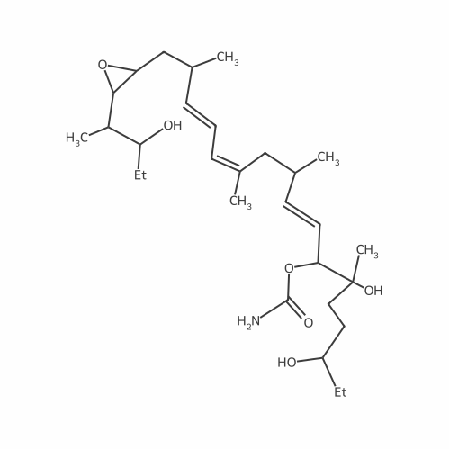 CCC(O)CCC(C)(O)C(C=CC(C)CC(C)=CC=CC(C)CC1OC1C(C)C(O)CC)OC(N)=O